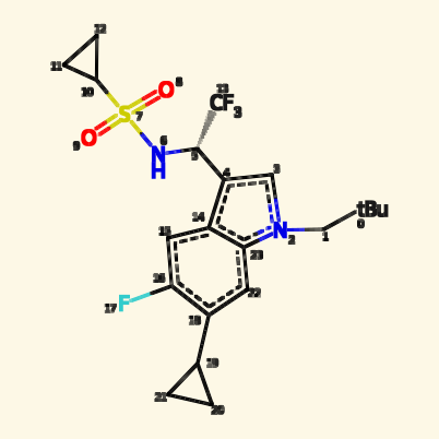 CC(C)(C)Cn1cc([C@H](NS(=O)(=O)C2CC2)C(F)(F)F)c2cc(F)c(C3CC3)cc21